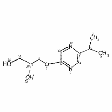 CC(C)c1cnc(OC[C@H](O)CO)cn1